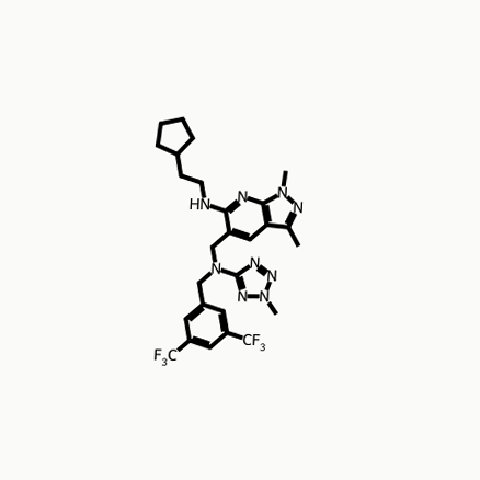 Cc1nn(C)c2nc(NCCC3CCCC3)c(CN(Cc3cc(C(F)(F)F)cc(C(F)(F)F)c3)c3nnn(C)n3)cc12